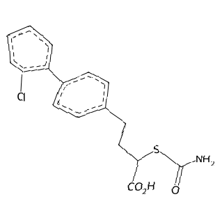 NC(=O)SC(CCc1ccc(-c2ccccc2Cl)cc1)C(=O)O